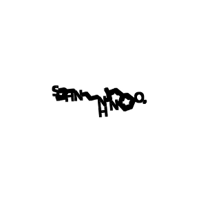 COc1ccc2nc(NCCCNCc3ccsc3)c(C)cc2c1